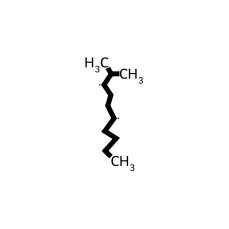 CCCC[CH]CC[CH]C(C)C